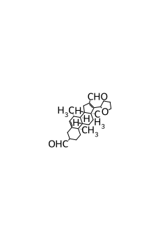 C[C@H]1C=C2CC(C=O)CC[C@]2(C)[C@H]2CC[C@]3(C)C(C4CCCO4)=C(C=O)C[C@H]3[C@H]12